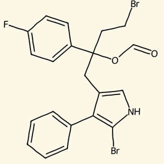 O=COC(CCBr)(Cc1c[nH]c(Br)c1-c1ccccc1)c1ccc(F)cc1